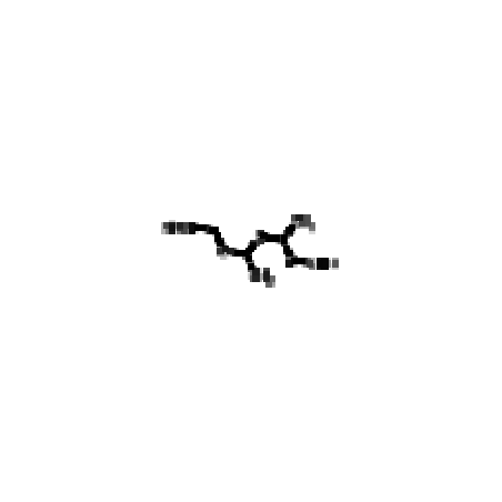 CCCCCCOC(C)OC(C)O[C]=O